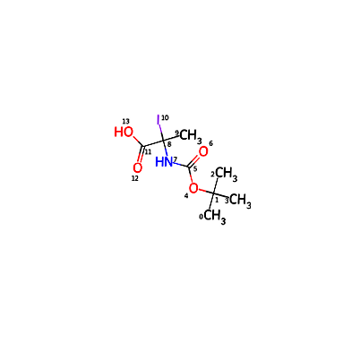 CC(C)(C)OC(=O)NC(C)(I)C(=O)O